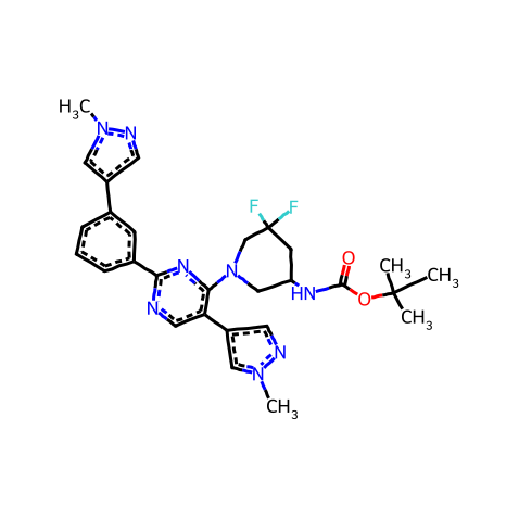 Cn1cc(-c2cccc(-c3ncc(-c4cnn(C)c4)c(N4CC(NC(=O)OC(C)(C)C)CC(F)(F)C4)n3)c2)cn1